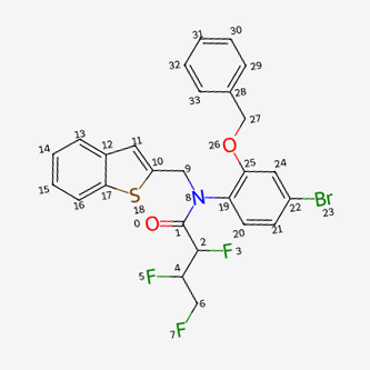 O=C(C(F)C(F)CF)N(Cc1cc2ccccc2s1)c1ccc(Br)cc1OCc1ccccc1